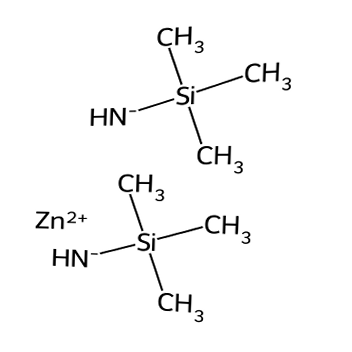 C[Si](C)(C)[NH-].C[Si](C)(C)[NH-].[Zn+2]